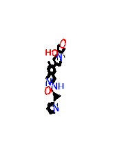 Cc1cc2cnc(NC(=O)[C@@H]3C[C@H]3c3ccccn3)cc2cc1C1CCN([C@]2(C)COC[C@@H]2O)CC1